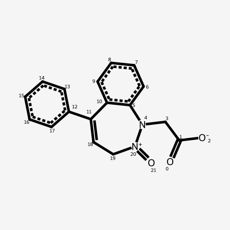 O=C([O-])CN1c2ccccc2C(c2ccccc2)=CC[N+]1=O